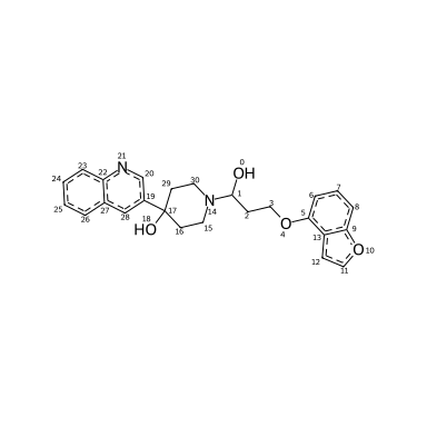 OC(CCOc1cccc2occc12)N1CCC(O)(c2cnc3ccccc3c2)CC1